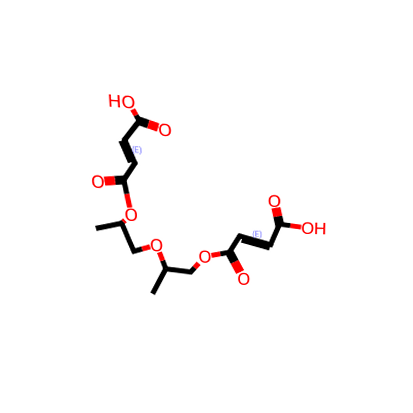 CC(COC(=O)/C=C/C(=O)O)OCC(C)OC(=O)/C=C/C(=O)O